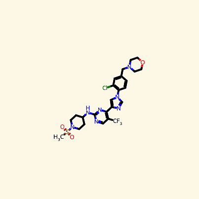 CS(=O)(=O)N1CCC(Nc2ncc(C(F)(F)F)c(-c3cn(-c4ccc(CN5CCOCC5)cc4Cl)cn3)n2)CC1